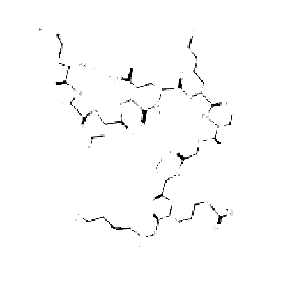 CC(C)C[C@H](NC(=O)CNC(=O)[C@H](CC(=O)O)NC(=O)[C@H](CCCCN)NC(=O)[C@H](CCC(N)=O)NC(=O)CNC(=O)[C@H](CCC(=O)O)NC(=O)[C@H](C)NC(=O)[C@@H](N)CCC(=O)O)C(=O)N[C@@H](CCCNC(=N)N)C(=O)N[C@@H](CCCCN)C(=O)O